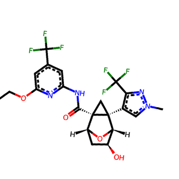 CCOc1cc(C(F)(F)F)cc(NC(=O)[C@]23C[C@@]2(c2cn(C)nc2C(F)(F)F)[C@H]2O[C@@H]3C[C@@H]2O)n1